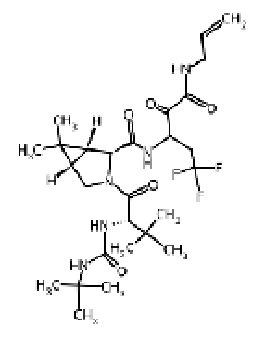 C=CCNC(=O)C(=O)C(CC(F)(F)F)NC(=O)[C@@H]1[C@@H]2[C@H](CN1C(=O)[C@@H](NC(=O)NC(C)(C)C)C(C)(C)C)C2(C)C